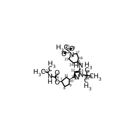 CC(C)NC(=O)O[C@@H]1CC[C@H](c2cc(NC3CCN(S(C)(=O)=O)CC3)n(C(C)(C)C)n2)C1